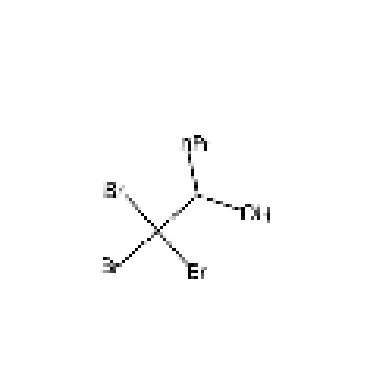 CCCC(O)C(Br)(Br)Br